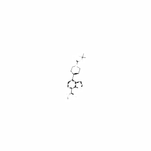 COC(=O)c1ccc(C2=CCN(C(=O)OC(C)(C)C)CC2)c2ccoc12